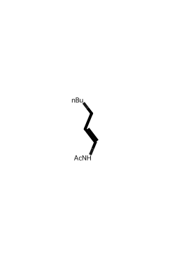 CCCCCC=CNC(C)=O